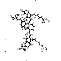 COC(=O)CCCCCN1/C(=C/C=C2\CCCC(/C=C/C3=[N+](CCCCCC(=O)OC)c4ccc(C)cc4C3(C)C)=C2Nc2ccc(CCC(=O)OC)cc2)C(C)(C)c2cc(S(=O)(=O)O)ccc21